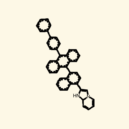 C1=CC2NC(c3ccc(-c4c5ccccc5c(-c5ccc(-c6ccccc6)cc5)c5ccccc45)c4ccccc34)=CN2C=C1